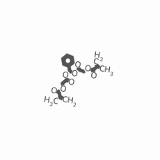 C=C(C)C(=O)OCC(=O)OC(OC(=O)COC(=O)C(=C)C)c1ccccc1